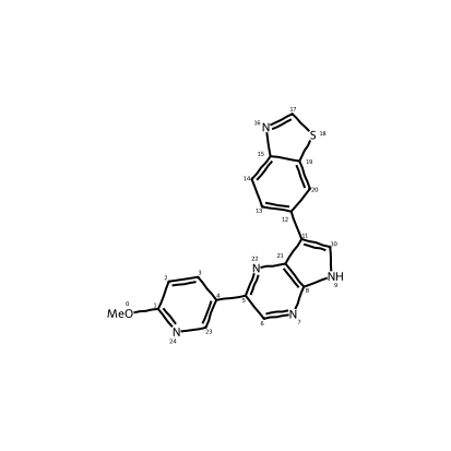 COc1ccc(-c2cnc3[nH]cc(-c4ccc5ncsc5c4)c3n2)cn1